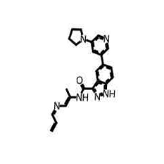 C=C/C=N\C=C(/C)NC(=O)c1n[nH]c2ccc(-c3cncc(N4CCCC4)c3)cc12